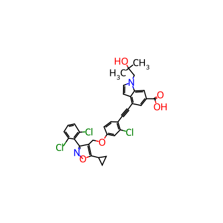 CC(C)(O)Cn1ccc2c(C#Cc3ccc(OCc4c(-c5c(Cl)cccc5Cl)noc4C4CC4)cc3Cl)cc(C(=O)O)cc21